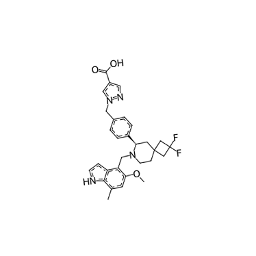 COc1cc(C)c2[nH]ccc2c1CN1CCC2(C[C@@H]1c1ccc(Cn3cc(C(=O)O)cn3)cc1)CC(F)(F)C2